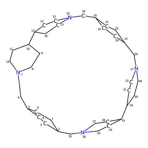 C1CC2CCC1CN1CCC(CC1)C1CCN(CC1)CC1CCC(CC1)CN1CCC(CC1)C1CCN(CC1)C2